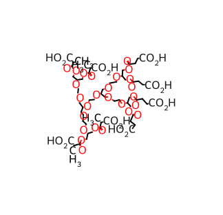 CC(C(=O)O)C(=O)OCC(COC(=O)C(C)C(=O)O)OCCOCC(COCCOC(COC(=O)C(C)C(=O)O)COC(=O)C(C)C(=O)O)OCCOC(COCCOC(COC(=O)CCC(=O)O)COC(=O)CCC(=O)O)COCCOC(COC(=O)CCC(=O)O)COC(=O)CCC(=O)O